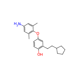 Cc1cc(N)cc(C)c1Oc1ccc(O)c(CCC2CCCC2)c1